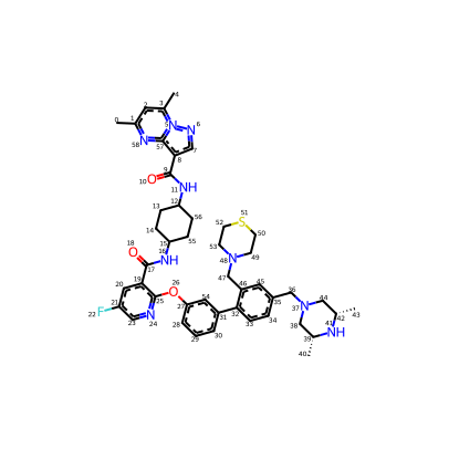 Cc1cc(C)n2ncc(C(=O)NC3CCC(NC(=O)c4cc(F)cnc4Oc4cccc(-c5ccc(CN6C[C@@H](C)N[C@@H](C)C6)cc5CN5CCSCC5)c4)CC3)c2n1